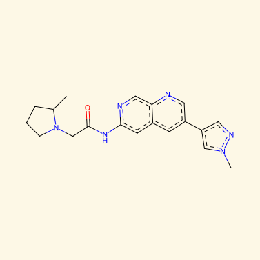 CC1CCCN1CC(=O)Nc1cc2cc(-c3cnn(C)c3)cnc2cn1